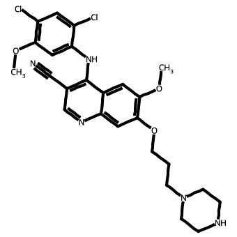 COc1cc(Nc2c(C#N)cnc3cc(OCCCN4CCNCC4)c(OC)cc23)c(Cl)cc1Cl